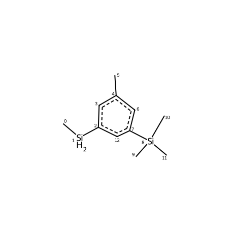 C[SiH2]c1cc(C)cc([Si](C)(C)C)c1